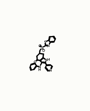 O=C1CC(CS(=O)(=O)c2nc3ccccc3s2)Cc2[nH]c(-c3ccncc3)c(Nc3ccccc3)c21